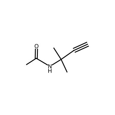 C#CC(C)(C)NC(C)=O